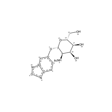 CC(=O)N[C@H]1[C@H](Oc2ccc3nonc3c2)O[C@H](CO)[C@@H](O)[C@H]1O